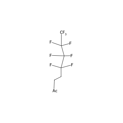 CC(=O)CCC(F)(F)C(F)(F)C(F)(F)C(F)(F)F